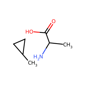 CC(N)C(=O)O.CC1CC1